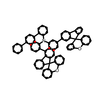 c1ccc(-c2ccc(-c3ccccc3N(c3cccc(-c4ccc5c(c4)C4(c6ccccc6Oc6ccccc64)c4ccccc4-5)c3)c3ccccc3-c3cccc4c3-c3ccccc3C43c4ccccc4Oc4ccccc43)cc2)cc1